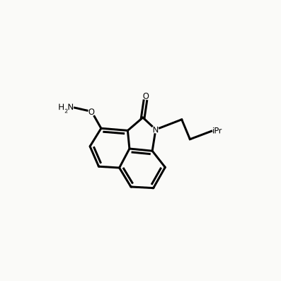 CC(C)CCN1C(=O)c2c(ON)ccc3cccc1c23